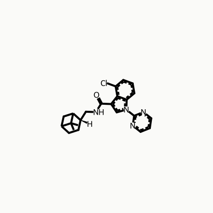 CC1(C)C2CC[C@@H](CNC(=O)c3cn(-c4ncccn4)c4cccc(Cl)c34)C1C2